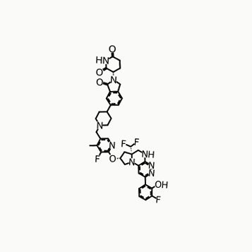 Cc1c(CN2CCC(c3ccc4c(c3)C(=O)N([C@H]3CCC(=O)NC3=O)C4)CC2)cnc(O[C@H]2CN3c4cc(-c5cccc(F)c5O)nnc4NC[C@]3(C(F)F)C2)c1F